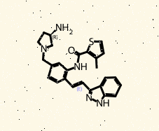 Cc1ccsc1C(=O)Nc1cc(CN2CC[C@@H](N)C2)ccc1/C=C/c1n[nH]c2ccccc12